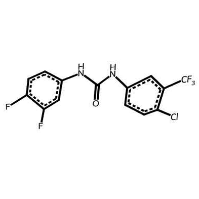 O=C(Nc1ccc(F)c(F)c1)Nc1ccc(Cl)c(C(F)(F)F)c1